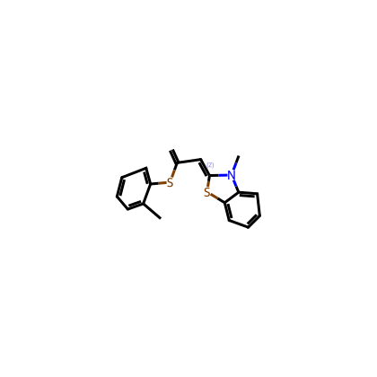 C=C(/C=C1\Sc2ccccc2N1C)Sc1ccccc1C